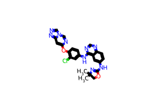 CC1(C)COC(Nc2ccc3ncnc(Nc4ccc(Oc5cc6nncn6cn5)c(Cl)c4)c3c2)=N1